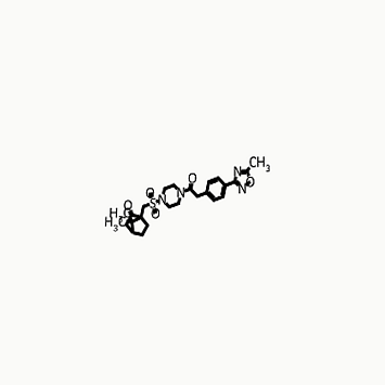 Cc1nc(-c2ccc(CC(=O)N3CCN(S(=O)(=O)CC45CCC(CC4=O)C5(C)C)CC3)cc2)no1